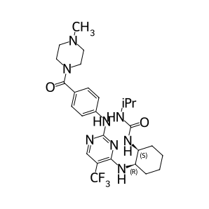 CC(C)NC(=O)N[C@H]1CCCC[C@H]1Nc1nc(Nc2ccc(C(=O)N3CCN(C)CC3)cc2)ncc1C(F)(F)F